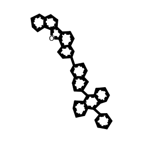 c1ccc(-c2c3ccccc3c(-c3ccc4cc(-c5ccc6c(ccc7c8ccc9ccccc9c8oc67)c5)ccc4c3)c3ccccc23)cc1